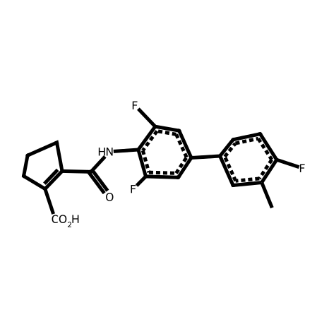 Cc1cc(-c2cc(F)c(NC(=O)C3=C(C(=O)O)CCC3)c(F)c2)ccc1F